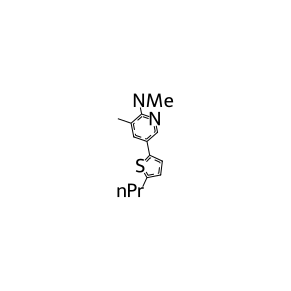 CCCc1ccc(-c2cnc(NC)c(C)c2)s1